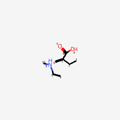 C=C(CC)C(=O)O.CCNC